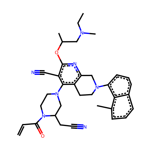 C=CC(=O)N1CCN(c2c(C#N)c(OC(C)CN(C)CC)nc3c2CCN(c2cccc4cccc(C)c24)C3)CC1CC#N